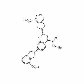 CCOC(=O)c1cccc2c1CN(c1ccc3c(c1)OC(N1Cc4cccc(C(=O)OCC)c4C1)CN3C(=O)OC(C)(C)C)C2